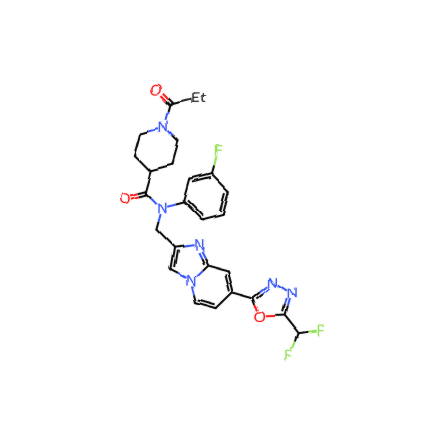 CCC(=O)N1CCC(C(=O)N(Cc2cn3ccc(-c4nnc(C(F)F)o4)cc3n2)c2cccc(F)c2)CC1